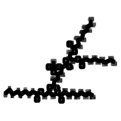 CCCCCCCCC(=O)OCC(COC(=O)CCCCCCCC)OC(=O)CCC(CCC(=O)OC(COC(=O)CCCCCCCC)COC(=O)CCCCCCCC)OS(C)(=O)=O